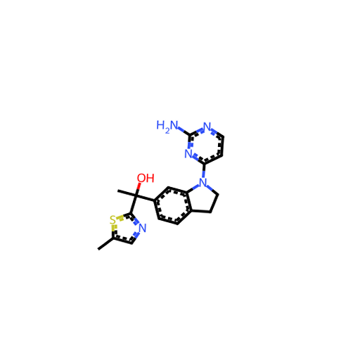 Cc1cnc(C(C)(O)c2ccc3c(c2)N(c2ccnc(N)n2)CC3)s1